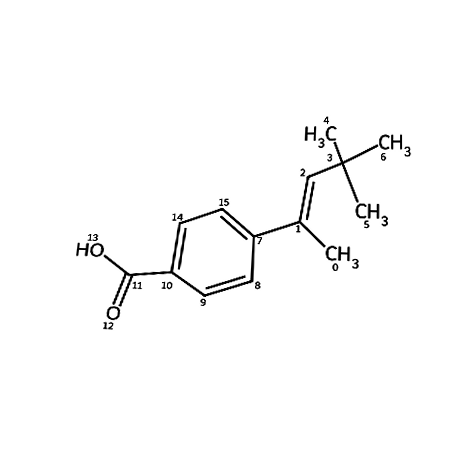 CC(=CC(C)(C)C)c1ccc(C(=O)O)cc1